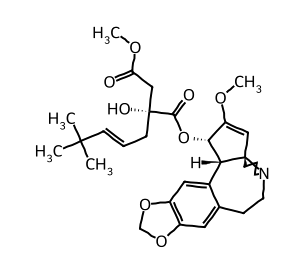 COC(=O)C[C@](O)(C/C=C/C(C)(C)C)C(=O)O[C@@H]1C(OC)=C[C@]23CCCN2CCc2cc4c(cc2[C@H]13)OCO4